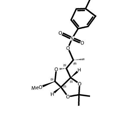 CO[C@H]1O[C@H]([C@@H](C)OS(=O)(=O)c2ccc(C)cc2)[C@@H]2OC(C)(C)O[C@H]12